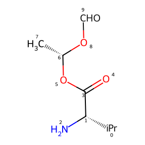 CC(C)[C@H](N)C(=O)O[C@H](C)OC=O